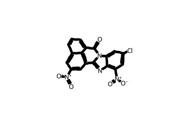 O=c1c2cccc3cc([N+](=O)[O-])cc(c32)c2nc3c([N+](=O)[O-])cc(Cl)cc3n12